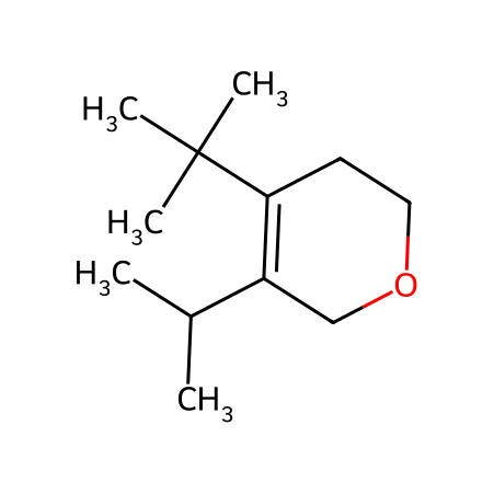 CC(C)C1=C(C(C)(C)C)CCOC1